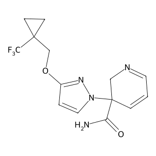 NC(=O)C1(n2ccc(OCC3(C(F)(F)F)CC3)n2)C=CC=NC1